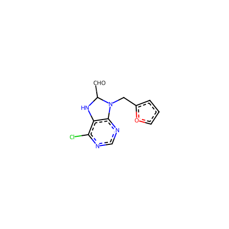 O=CC1Nc2c(Cl)ncnc2N1Cc1ccco1